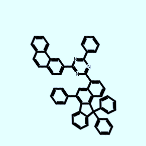 c1ccc(-c2nc(-c3ccc4ccc5ccccc5c4c3)nc(-c3cccc4c5c(c(-c6ccccc6)cc34)-c3ccccc3C5(c3ccccc3)c3ccccc3)n2)cc1